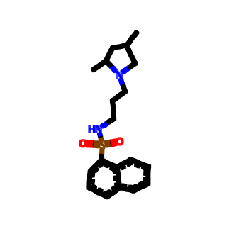 CC1CC(C)N(CCCNS(=O)(=O)c2cccc3ccccc23)C1